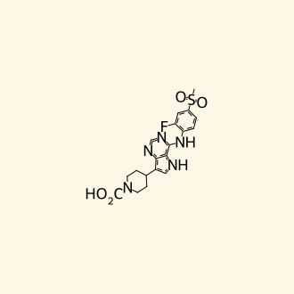 CS(=O)(=O)c1ccc(Nc2ncnc3c(C4CCN(C(=O)O)CC4)c[nH]c23)c(F)c1